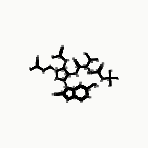 CC(=O)OC[C@H]1O[C@@H](n2c(=O)sc3cnc(N)nc32)[C@H](OC(=O)[C@@H](NC(=O)OC(C)(C)C)C(C)C)[C@H]1OC(C)=O